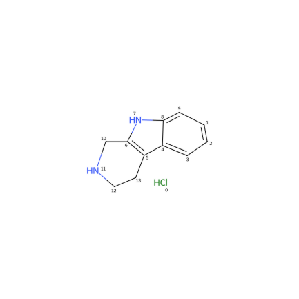 Cl.c1ccc2c3c([nH]c2c1)CNCC3